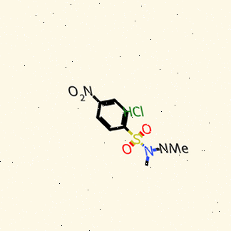 CNN(C)S(=O)(=O)c1ccc([N+](=O)[O-])cc1.Cl